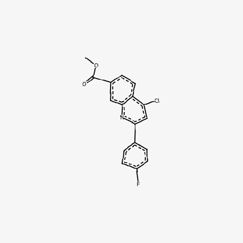 COC(=O)c1ccc2c(Cl)cc(-c3ccc(F)cc3)nc2c1